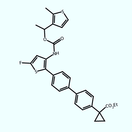 CCOC(=O)C1(c2ccc(-c3ccc(-c4sc(F)cc4NC(=O)OC(C)c4ccsc4C)cc3)cc2)CC1